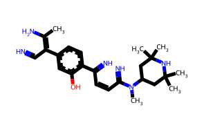 C/C(N)=C(/C=N)c1ccc(C(=N)/C=C\C(=N)N(C)C2CC(C)(C)NC(C)(C)C2)c(O)c1